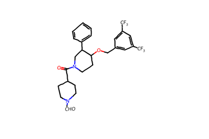 O=CN1CCC(C(=O)N2CCC(OCc3cc(C(F)(F)F)cc(C(F)(F)F)c3)C(c3ccccc3)C2)CC1